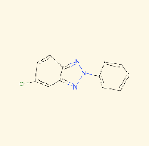 Clc1ccc2nn(-c3ccccc3)nc2c1